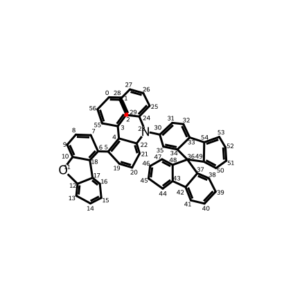 c1ccc(-c2c(-c3cccc4oc5ccccc5c34)cccc2N(c2ccccc2)c2ccc3c(c2)C2(c4ccccc4-c4ccccc42)c2ccccc2-3)cc1